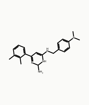 Cc1cccc(C2=NC(N)NC(NCc3ccc(N(C)C)cc3)=C2)c1C